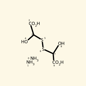 N.N.O=C(O)C(O)SSC(O)C(=O)O